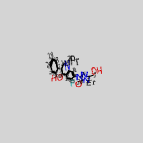 CCn1c(CO)nn(-c2cc3c(cc2F)[C@@H](O)[C@H](c2ccccc2C)CN3C(C)C)c1=O